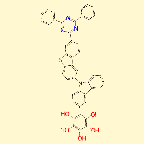 Oc1c(O)c(O)c(-c2ccc3c(c2)c2ccccc2n3-c2ccc3sc4cc(-c5nc(-c6ccccc6)nc(-c6ccccc6)n5)ccc4c3c2)c(O)c1O